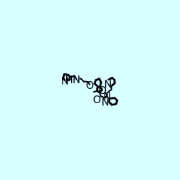 Cc1c(C(=O)c2nc3ccccc3n2CCc2ccccn2)oc2cccc(OCCCNCc3cccnc3)c12